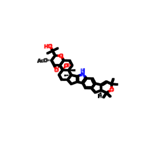 CC(=O)O[C@@H]1C(C(C)(C)O)OC2CC[C@@]3(C)[C@@](O)(CCC4Cc5c([nH]c6cc7c(cc56)C[C@H]5C7=CC(C)(C)OC5(C)C)[C@@]43C)[C@]23OC13